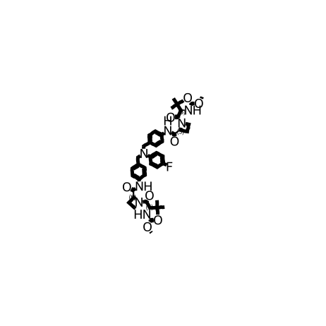 COC(=O)N[C@H](C(=O)N1CC[C@H]1C(=O)Nc1ccc(CN(Cc2ccc(NC(=O)[C@@H]3CCN3C(=O)[C@@H](NC(=O)OC)C(C)(C)C)cc2)c2ccc(F)cc2)cc1)C(C)(C)C